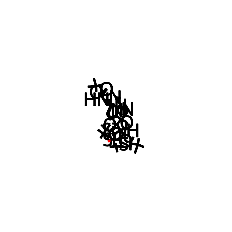 CC(C)(C)OC(=O)Nc1ncnn2c([C@]3(C#N)O[C@@H]4C(O[Si](C)(C)C(C)(C)C)C4(O[Si](C)(C)C(C)(C)C)C3O[Si](C)(C)C(C)(C)C)ccc12